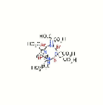 O=C(O)CCC1=C(CC(=O)O)c2nc1c(Br)c1[nH]c(c(Br)c3nc(c(Br)c4[nH]c(c2Br)c(CCC(=O)O)c4CC(=O)O)C(CCC(=O)O)=C3CC(=O)O)c(CC(=O)O)c1CCC(=O)O